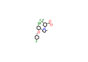 COC(=O)c1cc(-n2c(C)ccc2-c2cc(Br)ccc2OCc2ccc(F)cc2)cc(C(F)(F)F)c1